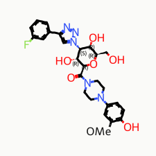 COc1cc(N2CCN(C(=O)[C@@H]3O[C@H](CO)[C@H](O)[C@H](n4cc(-c5cccc(F)c5)nn4)[C@H]3O)CC2)ccc1O